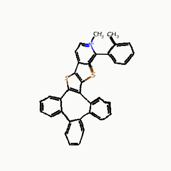 Cc1ccccc1-c1c2sc3c4c(sc3c2cc[n+]1C)-c1ccccc1-c1ccccc1-c1ccccc1-4